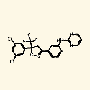 FC(F)(F)C1(c2cc(Cl)cc(Cl)c2)CC(c2cccc(Nc3ncccn3)c2)=NO1